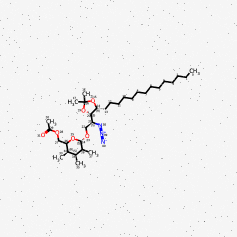 CCCCCCCCCCCCCC[C@H]1OC(C)(C)O[C@H]1[C@H](CO[C@H]1OC(COC(C)=O)[C@H](C)[C@H](C)C1C)N=[N+]=[N-]